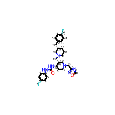 O=C(Nc1ccc(F)cc1)N[C@@H]1CCN(Cc2ncon2)C[C@H]1CN1CCC[C@@H](Cc2ccc(F)cc2)C1